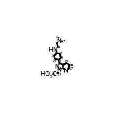 CN(C)CCNc1ccc(-c2nn(CC(=O)O)c3ncccc23)cc1